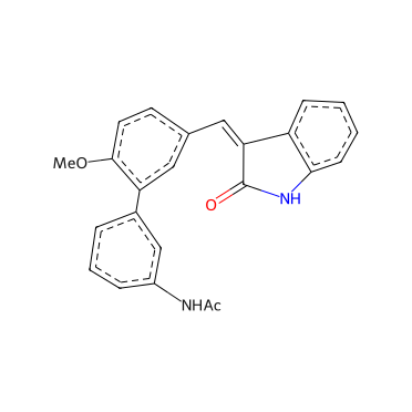 COc1ccc(C=C2C(=O)Nc3ccccc32)cc1-c1cccc(NC(C)=O)c1